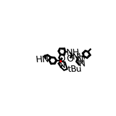 Cc1ccc(-n2nc(C(C)(C)C)cc2NC(=O)Nc2cccc(CC3CC4CCC(C3)N4C(=O)c3ccc4[nH]ccc4c3)c2)cc1